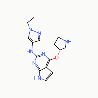 CCn1cc(Nc2nc(O[C@@H]3CCNC3)c3cc[nH]c3n2)cn1